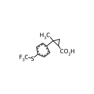 CC1(c2ccc(SC(F)(F)F)cc2)CC1C(=O)O